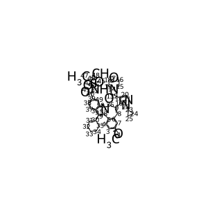 COc1ccc2c(c1)C=C(c1c(C(=O)N3CCOCC3)cnn1C1CC1)Cn1c-2c(C2CCCCC2)c2ccc(C(=O)NS(=O)(=O)C(C)C)cc21